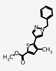 COC(=O)c1cc(C)c(-c2cnn(Cc3ccccc3)c2)s1